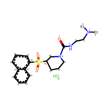 CCN(CC)CCNC(=O)N1CCCC(S(=O)(=O)c2cccc3ccccc23)C1.Cl